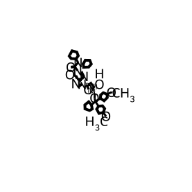 COc1ccc(C(OC[C@H]2O[C@@H](n3cnc4c(=O)n(C(=O)N(c5ccccc5)c5ccccc5)cnc43)C[C@@H]2O)(c2ccccc2)c2ccc(OC)cc2)cc1